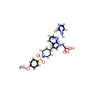 CC(C)Oc1ccc(S(=O)(=O)N2CCC(c3cn(CC(O)O)c4nc(Sc5nccn5C)ccc34)CC2)cc1